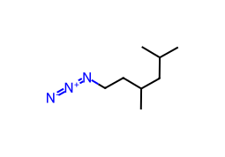 CC(C)CC(C)CCN=[N+]=[N-]